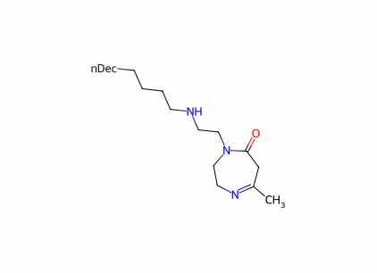 CCCCCCCCCCCCCCNCCN1CCN=C(C)CC1=O